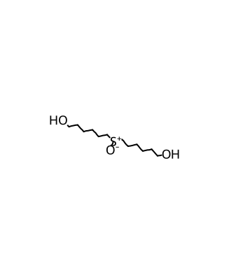 [O-][S+](CCCCCCO)CCCCCCO